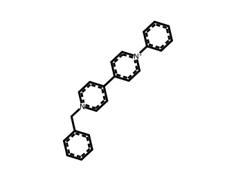 c1ccc(C[n+]2ccc(-c3cc[n+](-c4ccccc4)cc3)cc2)cc1